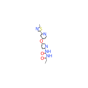 CCC(=O)NC(=O)Nc1ccc(Oc2ccnc(-c3cnc(C)s3)c2)cn1